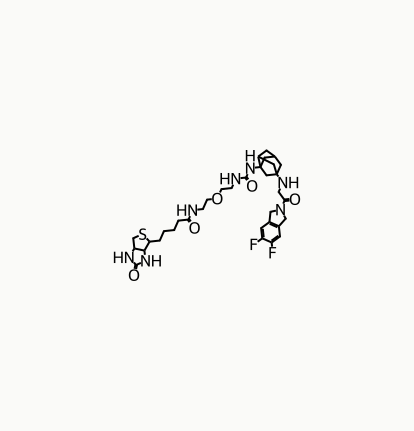 O=C(CCCCC1SCC2NC(=O)NC21)NCCOCCNC(=O)NC12CC3CC1CC(NCC(=O)N1Cc4cc(F)c(F)cc4C1)(C3)C2